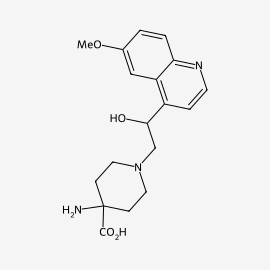 COc1ccc2nccc(C(O)CN3CCC(N)(C(=O)O)CC3)c2c1